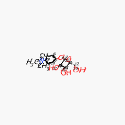 C[N+](C)(C)c1ccc(O[C@H]2O[C@H](CO)[C@@H](O)[C@H]2O)cc1